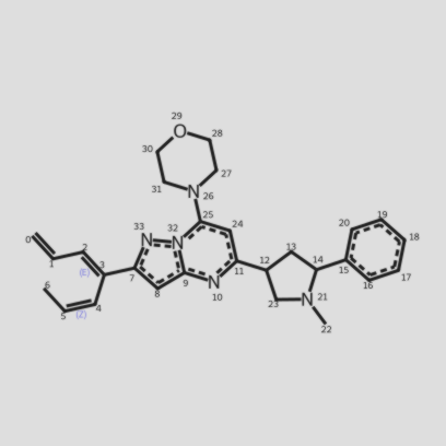 C=C/C=C(\C=C/C)c1cc2nc(C3CC(c4ccccc4)N(C)C3)cc(N3CCOCC3)n2n1